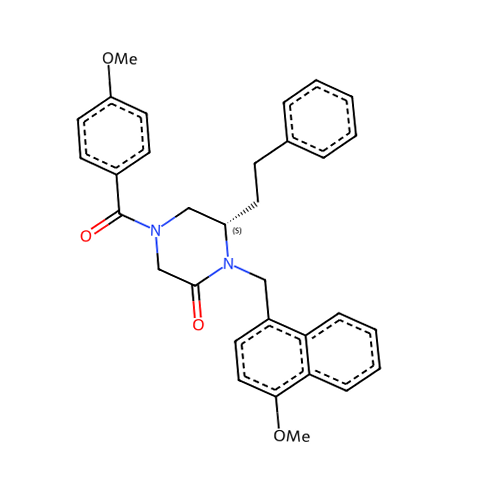 COc1ccc(C(=O)N2CC(=O)N(Cc3ccc(OC)c4ccccc34)[C@@H](CCc3ccccc3)C2)cc1